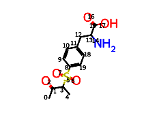 CC(=O)C(C)S(=O)(=O)c1ccc(CC(N)C(=O)O)cc1